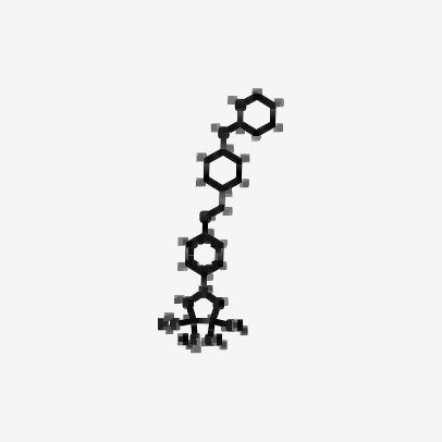 CC1(C)OB(c2ccc(OCC3CCC(OC4CCCCO4)CC3)cc2)OC1(C)C